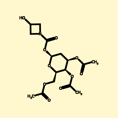 CC(=O)OC[C@H]1O[C@@H](OC(=O)N2CC(O)C2)C[C@@H](OC(C)=O)[C@H]1OC(C)=O